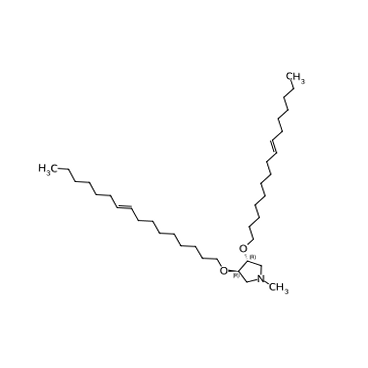 CCCCCCC=CCCCCCCCCO[C@@H]1CN(C)C[C@H]1OCCCCCCCCC=CCCCCCC